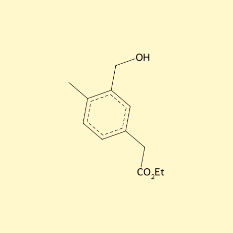 CCOC(=O)Cc1ccc(C)c(CO)c1